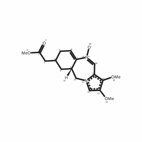 COC(=O)CC1CC=C2[C@@H](C1)Cn1cc(OC)c(OC)c1C=[N+]2[O-]